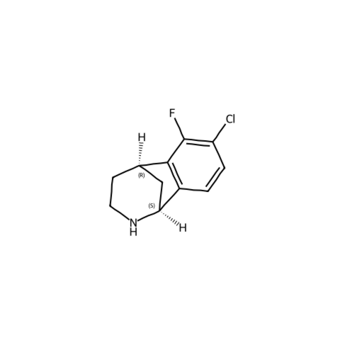 Fc1c(Cl)ccc2c1[C@@H]1CCN[C@H]2C1